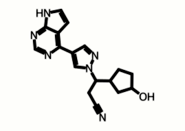 N#CCC(C1CCC(O)C1)n1cc(-c2ncnc3[nH]ccc23)cn1